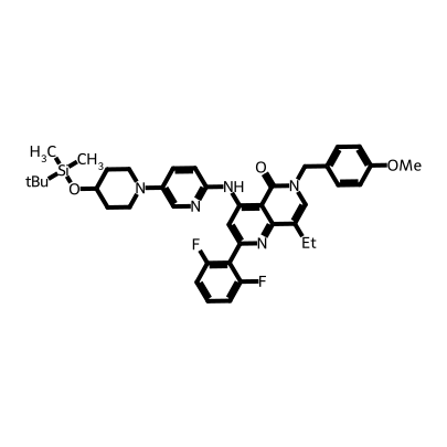 CCc1cn(Cc2ccc(OC)cc2)c(=O)c2c(Nc3ccc(N4CCC(O[Si](C)(C)C(C)(C)C)CC4)cn3)cc(-c3c(F)cccc3F)nc12